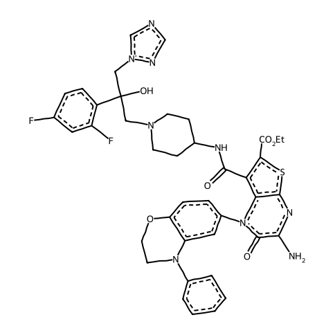 CCOC(=O)c1sc2nc(N)c(=O)n(-c3ccc4c(c3)N(c3ccccc3)CCO4)c2c1C(=O)NC1CCN(CC(O)(Cn2cncn2)c2ccc(F)cc2F)CC1